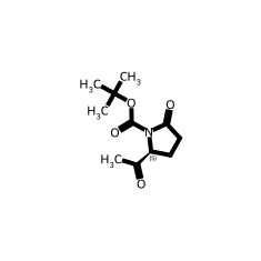 CC(=O)[C@@H]1CCC(=O)N1C(=O)OC(C)(C)C